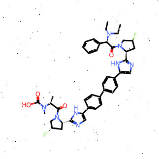 CCN(CC)[C@@H](C(=O)N1C[C@@H](F)C[C@H]1c1ncc(-c2ccc(-c3ccc(-c4cnc([C@@H]5C[C@H](F)CN5C(=O)[C@H](C)N(C)C(=O)O)[nH]4)cc3)cc2)[nH]1)c1ccccc1